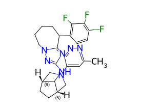 Cc1cc(N2C[C@H]3CC[C@@H](C2)C3Nc2nc3n(n2)CCCCC3c2ccc(F)c(F)c2F)cnn1